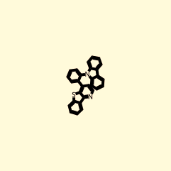 c1ccc(-n2c3ccccc3c3ccccc32)c(-c2ccnc3c2sc2ccccc23)c1